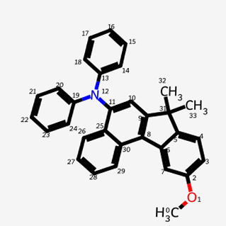 COc1ccc2c(c1)-c1c(cc(N(c3ccccc3)c3ccccc3)c3ccccc13)C2(C)C